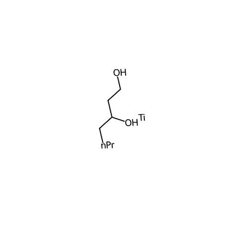 CCCCC(O)CCO.[Ti]